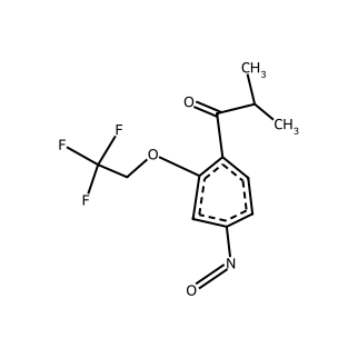 CC(C)C(=O)c1ccc(N=O)cc1OCC(F)(F)F